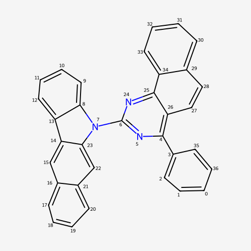 c1ccc(-c2nc(-n3c4ccccc4c4cc5ccccc5cc43)nc3c2ccc2ccccc23)cc1